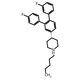 CCCCC[Si@H]1CC[C@H](c2ccc(-c3cccc(F)c3)c(-c3ccc(F)cc3)c2)CC1